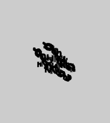 Cc1ccc(OCC(=O)Nc2cnc3nc(N4CCC(N5CCCC5)CC4)nc(C)c3n2)cc1.Cc1ccc(OCC(=O)Nc2cnc3nc(N4CCCN(C)CC4)nc(C)c3n2)cc1